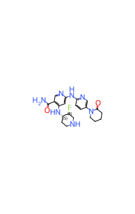 NC(=O)c1cnc(Nc2ccc(N3CCCCC3=O)cn2)cc1N[C@H]1CCNC[C@H]1F